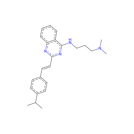 CC(C)c1ccc(C=Cc2nc(NCCCN(C)C)c3ccccc3n2)cc1